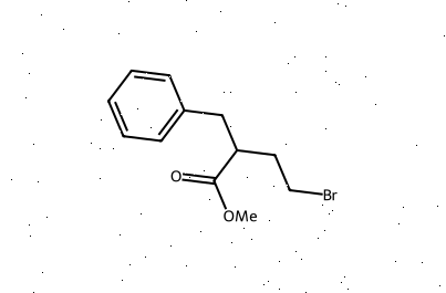 COC(=O)C(CCBr)Cc1ccccc1